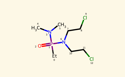 CCP(=O)(N(C)C)N(CCCl)CCCl